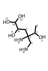 CC(O)C(N)(CN)CC(O)C(O)O